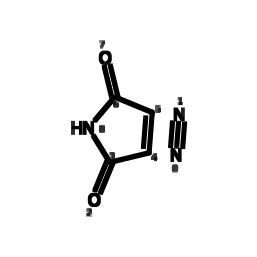 N#N.O=C1C=CC(=O)N1